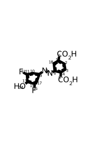 O=C(O)c1ccc(C(=O)O)c(N=Nc2cc(F)c(O)c(F)c2)c1